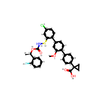 COc1cc(-c2ccc(Cl)cc2SNC(=O)O[C@H](C)c2ccccc2F)ccc1-c1ccc(C2(C(=O)O)CC2)cc1